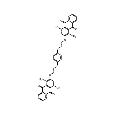 Nc1c(OCCOc2ccc(OCCOc3cc(O)c4c(c3N)C(=O)c3ccccc3C4=O)cc2)cc(O)c2c1C(=O)c1ccccc1C2=O